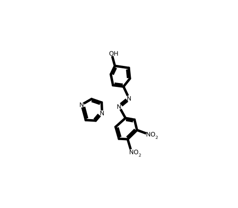 O=[N+]([O-])c1ccc(N=Nc2ccc(O)cc2)cc1[N+](=O)[O-].c1cnccn1